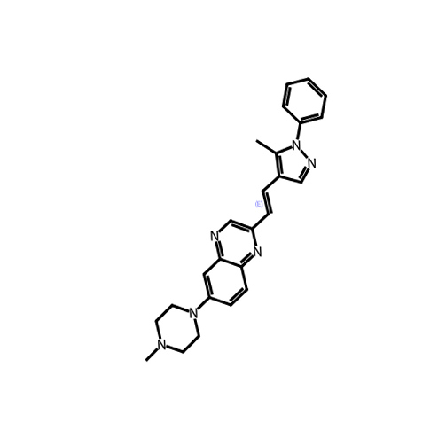 Cc1c(/C=C/c2cnc3cc(N4CCN(C)CC4)ccc3n2)cnn1-c1ccccc1